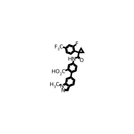 Cn1ncc2ccc(-c3ccc(NC(=O)C4(c5ccc(C(F)(F)F)cc5F)CC4)cc3C(=O)O)cc21